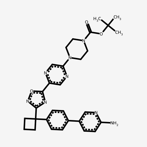 CC(C)(C)OC(=O)N1CCN(c2cnc(-c3nc(C4(c5ccc(-c6ccc(N)nc6)cc5)CCC4)no3)cn2)CC1